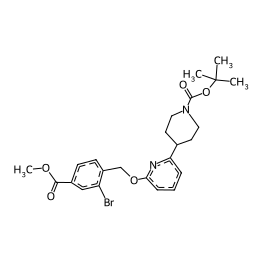 COC(=O)c1ccc(COc2cccc(C3CCN(C(=O)OC(C)(C)C)CC3)n2)c(Br)c1